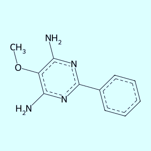 COc1c(N)nc(-c2ccccc2)nc1N